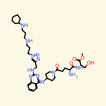 COC(=O)C(CO)NC(=O)[C@@H](N)CCC(=O)N1CCC(Nc2nc(NCc3cn(CCCNCCCNC4CCCCC4)nn3)nc3ccccc23)CC1